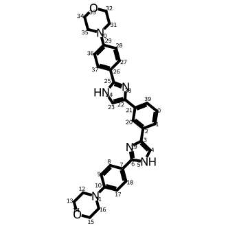 c1cc(-c2c[nH]c(-c3ccc(N4CCOCC4)cc3)n2)cc(-c2c[nH]c(-c3ccc(N4CCOCC4)cc3)n2)c1